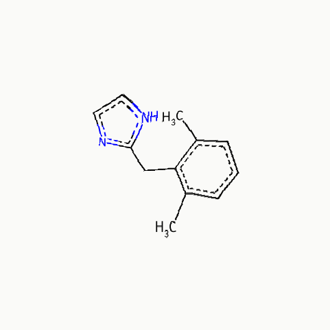 Cc1cccc(C)c1Cc1ncc[nH]1